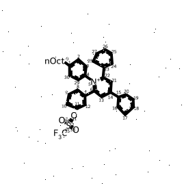 CCCCCCCCc1ccc(-[n+]2c(-c3ccccc3)cc(-c3ccccc3)cc2-c2ccccc2)cc1.O=S(=O)([O-])C(F)(F)F